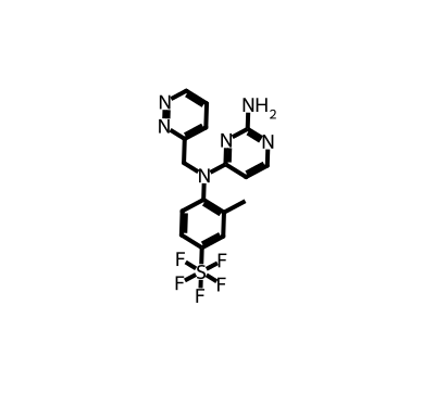 Cc1cc(S(F)(F)(F)(F)F)ccc1N(Cc1cccnn1)c1ccnc(N)n1